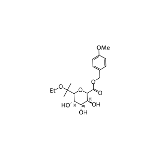 CCOC(C)(C)C1OC(C(=O)OCc2ccc(OC)cc2)[C@@H](O)[C@H](O)[C@@H]1O